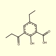 CCC(=O)c1cc(CC)cc(C(=O)O)c1O